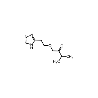 CC(C)C(=O)COCCc1nnn[nH]1